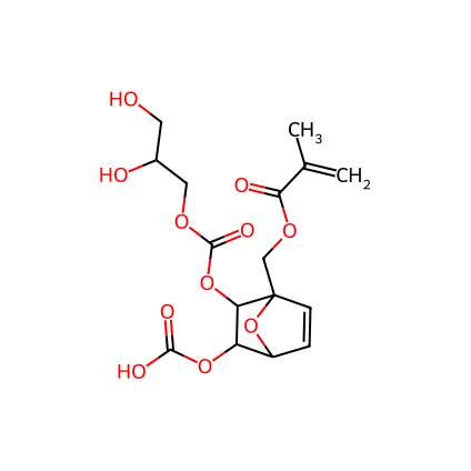 C=C(C)C(=O)OCC12C=CC(O1)C(OC(=O)O)C2OC(=O)OCC(O)CO